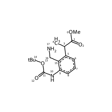 COC(=O)C(C)c1cccc(NC(=O)OC(C)(C)C)c1CN